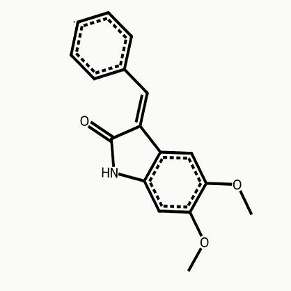 COc1cc2c(cc1OC)/C(=C/c1cc[c]cc1)C(=O)N2